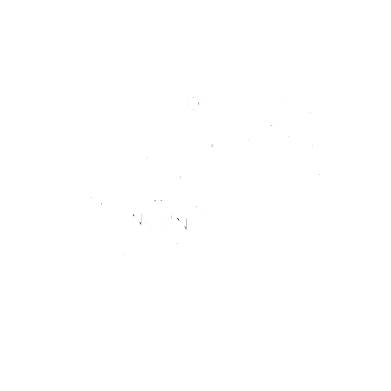 C#C/C=C(/c1ccc2oc3cc4c(cc3c2c1)-c1ccccc1C4(C)C)C(n1c2ccccc2c2ccccc21)C(C)(C)C#N